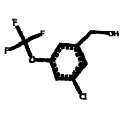 OCc1cc(Cl)cc(OC(F)(F)F)c1